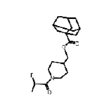 CC(F)C(=O)N1CCC(COC(=O)C23CC4CC(CC(C4)C2)C3)CC1